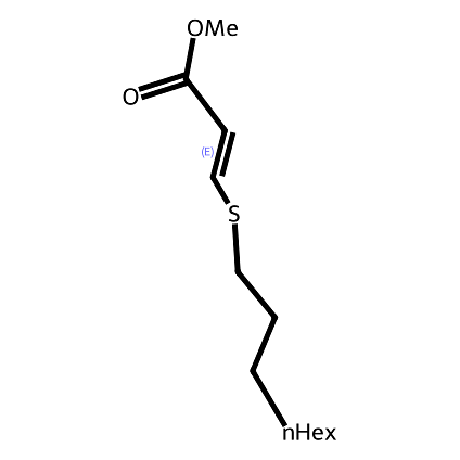 CCCCCCCCCS/C=C/C(=O)OC